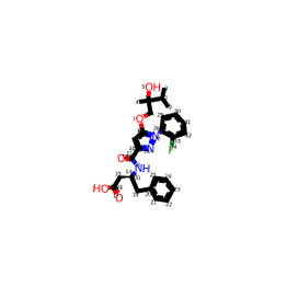 CC(C)C(C)(O)COc1cc(C(=O)N[C@H](CC(=O)O)Cc2ccccc2)nn1-c1ccccc1F